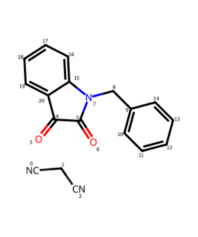 N#CCC#N.O=C1C(=O)N(Cc2ccccc2)c2ccccc21